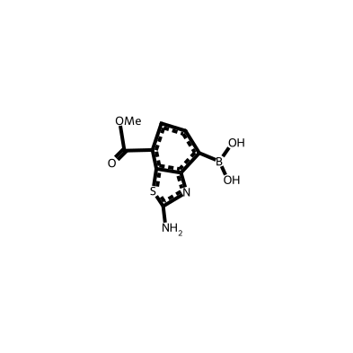 COC(=O)c1ccc(B(O)O)c2nc(N)sc12